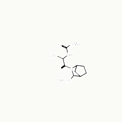 COC(=O)NC(C(=O)N1C2CCC(C2)C1C(=O)O)C(C)C